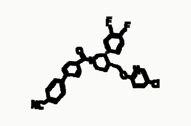 N#Cc1ccc(-c2ccc(C(=O)N3CC[C@H](COc4ccc(Cl)cn4)[C@@H](c4ccc(F)c(F)c4)C3)cc2)cc1